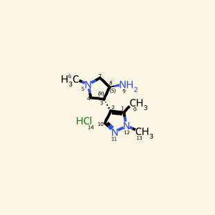 Cc1c([C@@H]2CN(C)C[C@H]2N)cnn1C.Cl